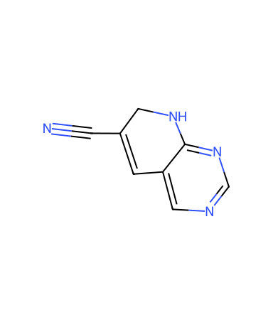 N#CC1=Cc2cncnc2NC1